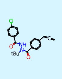 C=C=Cc1ccc(C(=O)N(NC(=O)c2ccc(Cl)cc2)C(C)(C)C)cc1